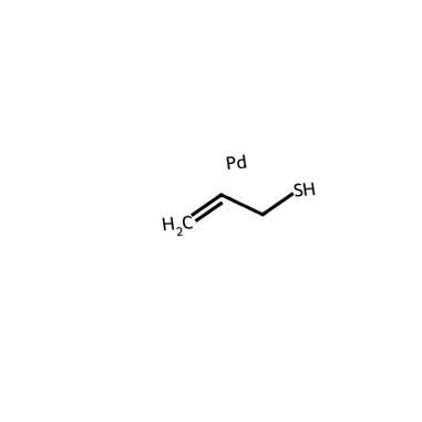 C=CCS.[Pd]